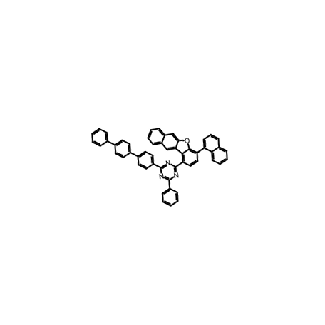 c1ccc(-c2ccc(-c3ccc(-c4nc(-c5ccccc5)nc(-c5ccc(-c6cccc7ccccc67)c6oc7cc8ccccc8cc7c56)n4)cc3)cc2)cc1